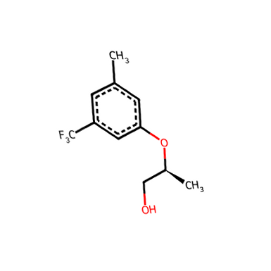 Cc1cc(O[C@@H](C)CO)cc(C(F)(F)F)c1